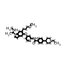 C=C(NC)n1ccc2cc(Oc3ccnc(NC(=O)c4ccc(C5CCN(CC)CC5)cc4)c3)c(CCCOC)cc21